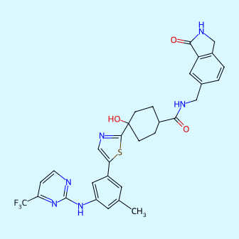 Cc1cc(Nc2nccc(C(F)(F)F)n2)cc(-c2cnc(C3(O)CCC(C(=O)NCc4ccc5c(c4)C(=O)NC5)CC3)s2)c1